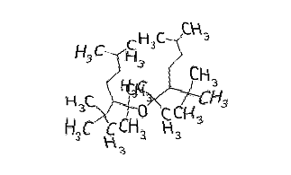 CC(C)CCC(C(C)(C)C)C(C)(C)OC(C)(C)C(CCC(C)C)C(C)(C)C